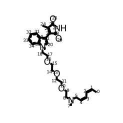 C/C=C\C=C/CN(C)CCOCCOCCOCCn1cc(C2=C(C)C(=O)NC2=O)c2ccccc21